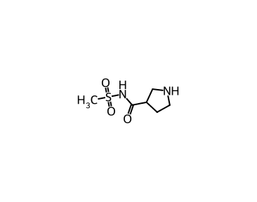 CS(=O)(=O)NC(=O)C1CCNC1